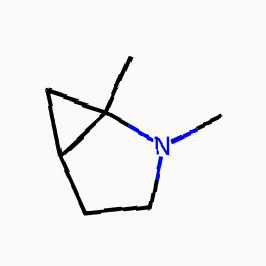 CN1CCC2CC21C